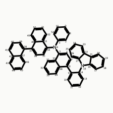 c1ccc(N(c2ccc(-c3ccccc3-n3c4ccccc4c4ccccc43)c3ccccc23)c2ccc(-c3cccc4ccccc34)c3ccccc23)cc1